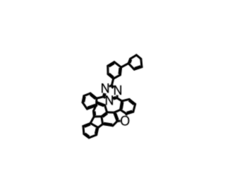 C1=CC(c2cccc(-c3nc(-c4ccccc4)nc(-c4cccc5oc6cc7c8c(cccc8c6c45)-c4ccccc4-7)n3)c2)=CCC1